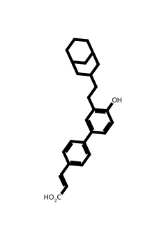 O=C(O)/C=C/c1ccc(-c2ccc(O)c(CCC3CC4CCCC(C4)C3)c2)cc1